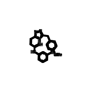 CCc1cccc(NC(=N)/C=C\c2nnc(Cc3ccc(OC)cc3)[nH]2)c1